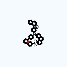 c1ccc(-c2ccc(N(c3ccc4c(c3)oc3ccc5ccccc5c34)c3ccc4ccc5ccc6nc(-c7ccccc7)oc6c5c4c3)cc2)cc1